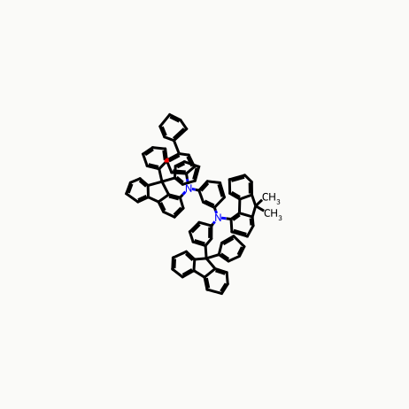 CC1(C)c2ccccc2-c2c(N(c3cccc(N(c4ccc(-c5ccccc5)cc4)c4cccc5c4C(c4ccccc4)(c4ccccc4)c4ccccc4-5)c3)c3cccc(C4(c5ccccc5)c5ccccc5-c5ccccc54)c3)cccc21